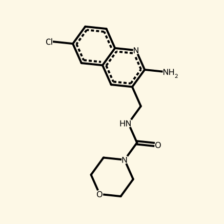 Nc1nc2ccc(Cl)cc2cc1CNC(=O)N1CCOCC1